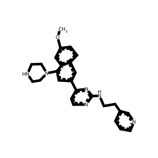 COc1ccc2cc(-c3ccnc(NCCc4cccnc4)n3)cc(N3CCNCC3)c2c1